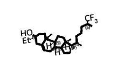 CC[C@]1(O)CC[C@@]2(C)C(=CC[C@H]3[C@@H]4CC[C@H]([C@H](C)CCC[C@H](C)C(F)(F)F)[C@@]4(C)CC[C@@H]32)C1